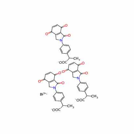 CC(C(=O)[O-])c1ccc(N2CC3=C(C(=O)C=CC3=O)C2=O)cc1.CC(C(=O)[O-])c1ccc(N2CC3=C(C(=O)C=CC3=O)C2=O)cc1.CC(C(=O)[O-])c1ccc(N2CC3=C(C(=O)C=CC3=O)C2=O)cc1.[Bi+3]